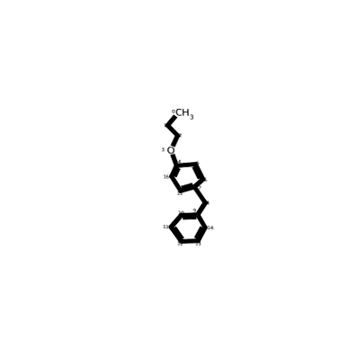 CCCOc1ccc(Cc2c[c]ccc2)cc1